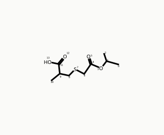 CC(C)OC(=O)CSCC(C)C(=O)O